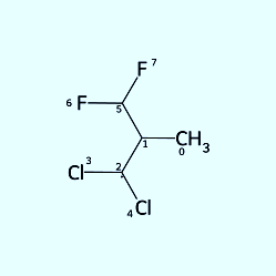 CC([C](Cl)Cl)C(F)F